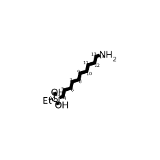 CC[Si](O)(O)CCCCCCCCCCN